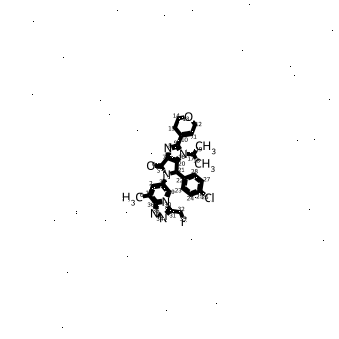 Cc1cc(N2C(=O)c3nc(C4=CCOCC4)n(C(C)C)c3C2c2ccc(Cl)cc2)cn2c(CF)nnc12